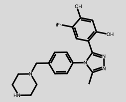 Cc1nnc(-c2cc(C(C)C)c(O)cc2O)n1-c1ccc(CN2CCNCC2)cc1